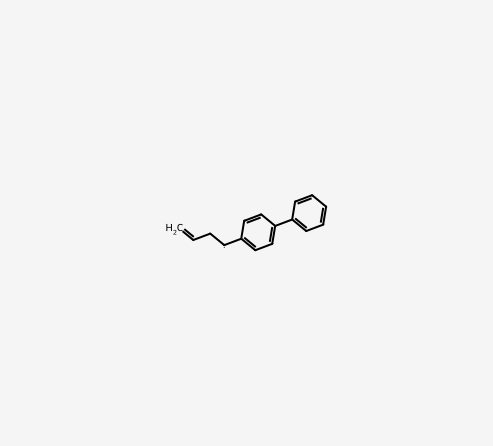 C=CC[CH]c1ccc(-c2ccccc2)cc1